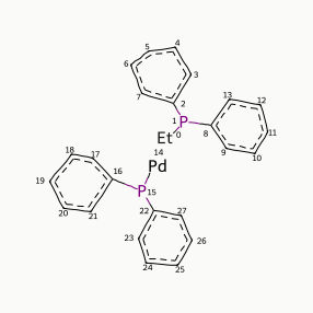 CCP(c1ccccc1)c1ccccc1.[Pd][P](c1ccccc1)c1ccccc1